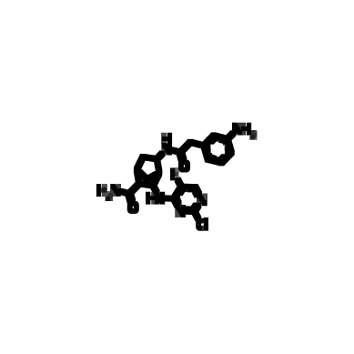 NC(=O)C1C2CC(NC(=O)Cc3cccc(N)c3)C(C2)C1Nc1nc(Cl)ncc1F